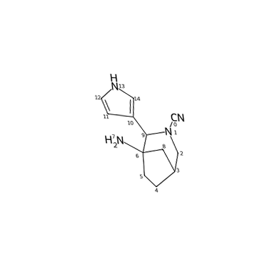 N#CN1CC2CCC(N)(C2)C1c1cc[nH]c1